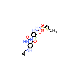 Cc1ccc(S(=O)(=O)NC(=O)Nc2ccc(-n3c(=O)[nH]c4cc(NCC5CC5)ccc4c3=O)c(F)c2)s1